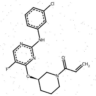 C=CC(=O)N1CCC[C@@H](Oc2nc(Nc3cccc(Cl)c3)ncc2F)C1